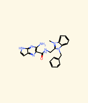 C[n+]1c(CNC(=O)c2nc3cc[nH]c3nc2N)n(Cc2ccccc2)c2ccccc21